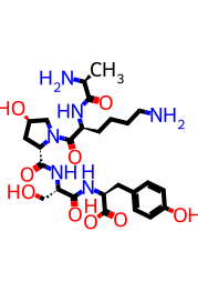 C[C@H](N)C(=O)N[C@@H](CCCCN)C(=O)N1C[C@H](O)C[C@H]1C(=O)N[C@@H](CO)C(=O)N[C@@H](Cc1ccc(O)cc1)C(=O)O